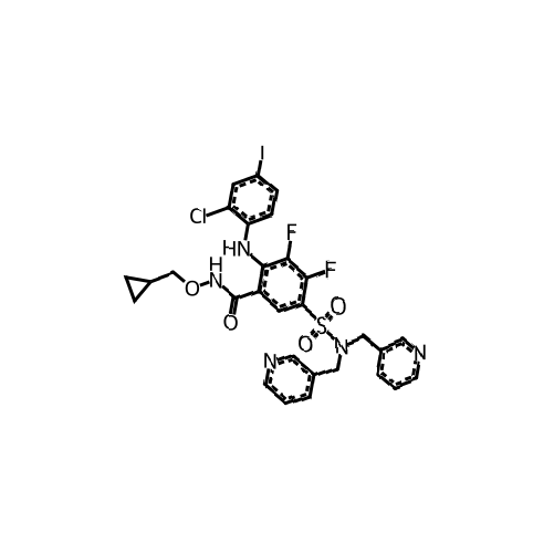 O=C(NOCC1CC1)c1cc(S(=O)(=O)N(Cc2cccnc2)Cc2cccnc2)c(F)c(F)c1Nc1ccc(I)cc1Cl